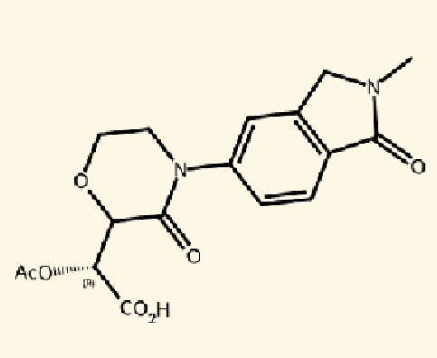 CC(=O)O[C@@H](C(=O)O)C1OCCN(c2ccc3c(c2)CN(C)C3=O)C1=O